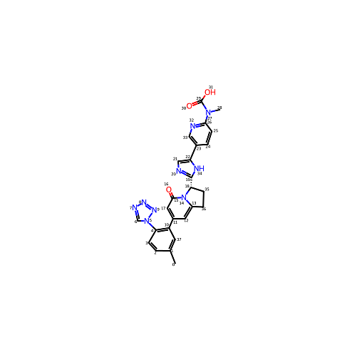 Cc1ccc(-n2cnnn2)c(-c2cc3n(c(=O)c2)[C@H](c2ncc(-c4ccc(N(C)C(=O)O)nc4)[nH]2)CC3)c1